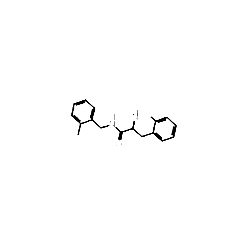 Cc1ccccc1CNC(=O)C(N)Cc1ccccc1O